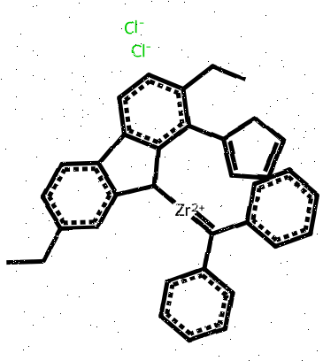 CCc1ccc2c(c1)[CH]([Zr+2]=[C](c1ccccc1)c1ccccc1)c1c-2ccc(CC)c1C1=CC=CC1.[Cl-].[Cl-]